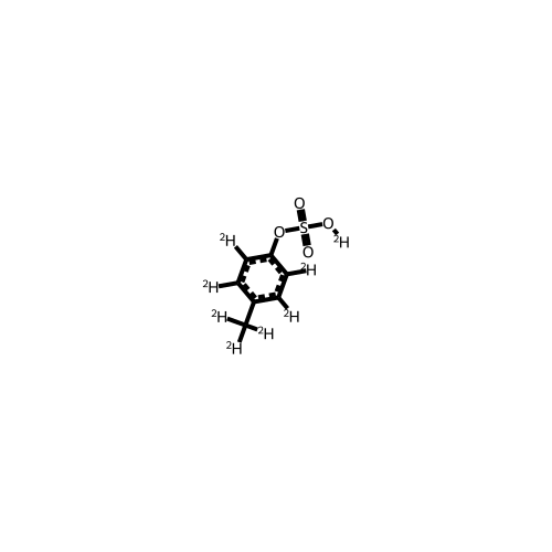 [2H]OS(=O)(=O)Oc1c([2H])c([2H])c(C([2H])([2H])[2H])c([2H])c1[2H]